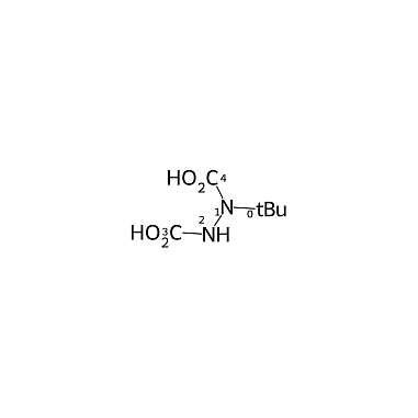 CC(C)(C)N(NC(=O)O)C(=O)O